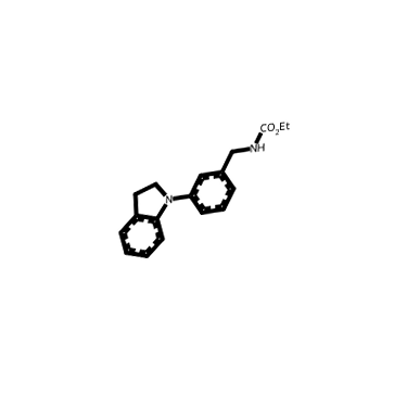 CCOC(=O)NCc1cccc(N2CCc3ccccc32)c1